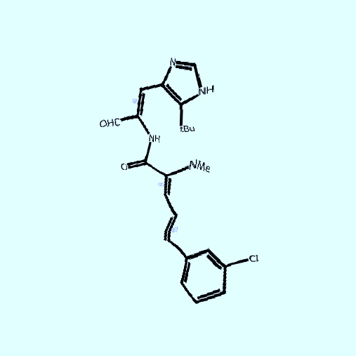 CN/C(=C\C=C\c1cccc(Cl)c1)C(=O)N/C(C=O)=C\c1nc[nH]c1C(C)(C)C